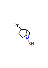 CC(C)C1CC2CC1CN2S